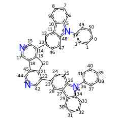 c1ccc(-n2c3ccccc3c3cc(-c4cncc5c4Cc4c(-c6ccc7c(c6)c6ccccc6n7-c6ccccc6)cncc4-5)ccc32)cc1